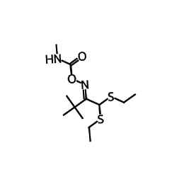 CCSC(SCC)C(=NOC(=O)NC)C(C)(C)C